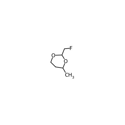 CC1CCOC(CF)O1